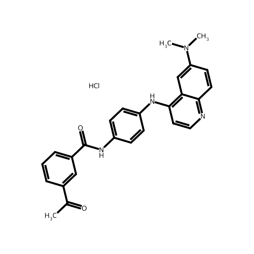 CC(=O)c1cccc(C(=O)Nc2ccc(Nc3ccnc4ccc(N(C)C)cc34)cc2)c1.Cl